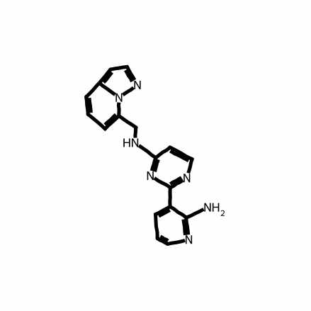 Nc1ncccc1-c1nccc(NCc2cccc3ccnn23)n1